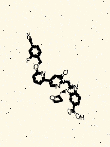 N#Cc1ccc(COc2cccc(-c3cnn(Cc4nc5ccc(C(=O)O)cc5n4C[C@@H]4CCO4)c(=O)c3)n2)c(F)c1